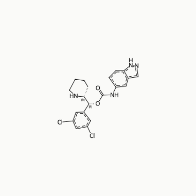 O=C(Nc1ccc2[nH]ncc2c1)O[C@H](c1cc(Cl)cc(Cl)c1)[C@H]1CCCCN1